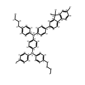 CCCCc1ccc(N(c2ccc(C)cc2)c2ccc(N(c3ccc(CCCC)cc3)c3ccc(-c4ccc5c(c4)C(C)(C)c4cc(C)ccc4-5)cc3)cc2)cc1